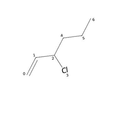 C=CC(Cl)CCC